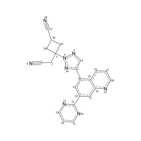 N#CCC1(n2ncc(-c3cc(-c4ncccn4)cc4ncccc34)n2)CC(C#N)C1